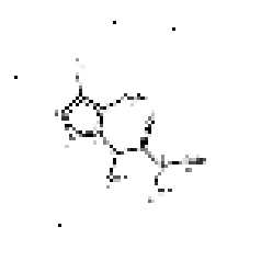 CCc1cnn(C(SC)C(=O)N(SC)SC)c1SC